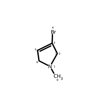 CN1[C]C(Br)=CC1